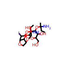 CCC(C)(N)OC1C(O)C(CO)OC(OC2C3COC2C(I)C(OC(N)(CC)CC)O3)C1O